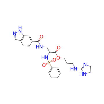 O=C(NCC(NS(=O)(=O)c1ccccc1)C(=O)OCCCNC1=NCCN1)c1ccc2cn[nH]c2c1